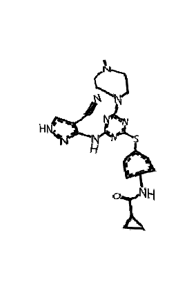 CN1CCN(c2nc(Nc3n[nH]cc3C#N)nc(Sc3ccc(NC(=O)C4CC4)cc3)n2)CC1